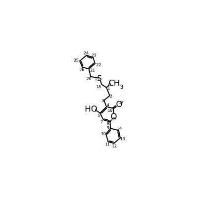 CC(CCc1c(O)cc(-c2ccccc2)oc1=O)CSCc1ccccc1